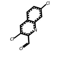 O=Cc1nc2cc(Cl)ccc2cc1Cl